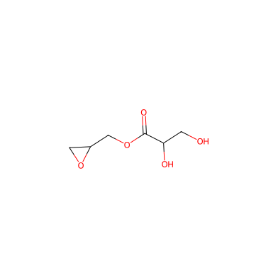 O=C(OCC1CO1)C(O)CO